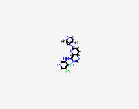 Fc1c(Cl)cncc1Nc1ncnc2ccc(N3C[C@@H]4C[C@H]3CN4)nc12